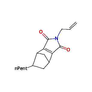 C=CCN1C(=O)C2=C(C1=O)C1CC2CC1CCCCC